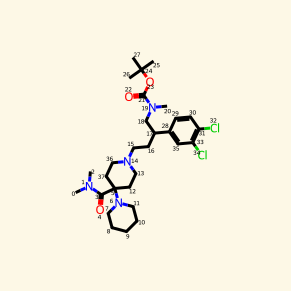 CN(C)C(=O)C1(N2CCCCC2)CCN(CCC(CN(C)C(=O)OC(C)(C)C)c2ccc(Cl)c(Cl)c2)CC1